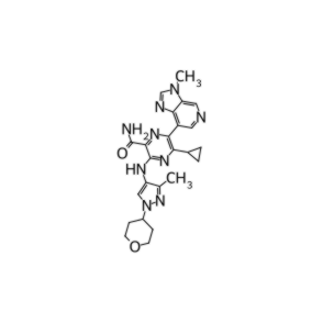 Cc1nn(C2CCOCC2)cc1Nc1nc(C2CC2)c(-c2cncc3c2ncn3C)nc1C(N)=O